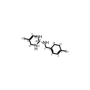 IC1=CC=C(CN[C@H]2NC=C(I)CN2)CC1